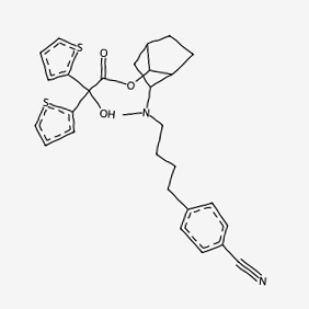 CN(CCCCc1ccc(C#N)cc1)C1CC2CCC1C2OC(=O)C(O)(c1cccs1)c1cccs1